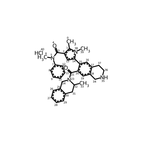 Cc1c(C(=O)N(C)c2ccccc2)cc(-c2cc3c(cc2C(=O)N2Cc4ccccc4CC2C)CNCC3)n1C.Cl